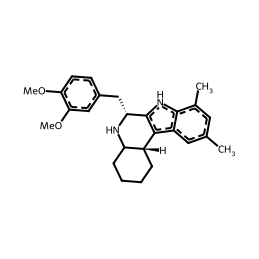 COc1ccc(C[C@H]2NC3CCCC[C@H]3c3c2[nH]c2c(C)cc(C)cc32)cc1OC